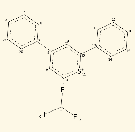 FC(F)F.c1ccc(-c2cc[s+]c(-c3ccccc3)c2)cc1